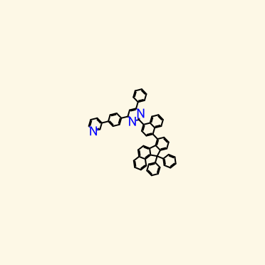 c1ccc(-c2cc(-c3ccc(-c4cccnc4)cc3)nc(-c3ccc(-c4cccc5c4-c4ccc6ccccc6c4C5(c4ccccc4)c4ccccc4)c4ccccc34)n2)cc1